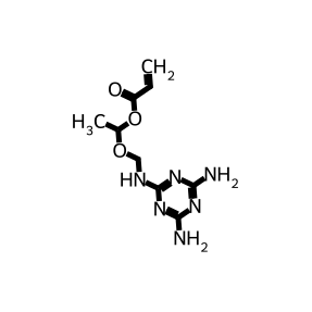 C=CC(=O)OC(C)OCNc1nc(N)nc(N)n1